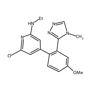 CCNc1cc(-c2ccc(OC)cc2-c2nncn2C)cc(Cl)n1